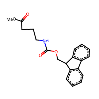 COC(=O)CCCNC(=O)OCC1c2ccccc2-c2ccccc21